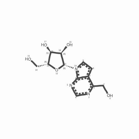 OCc1ncnc2c1ccn2[C@@H]1O[C@H](CO)[C@@H](O)[C@H]1O